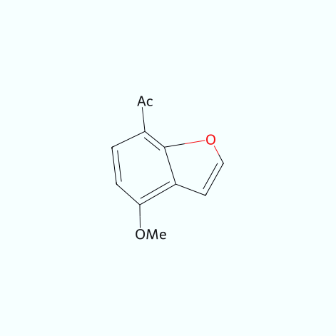 COc1ccc(C(C)=O)c2occc12